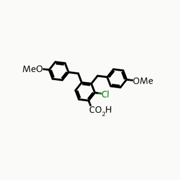 COc1ccc(Cc2ccc(C(=O)O)c(Cl)c2Cc2ccc(OC)cc2)cc1